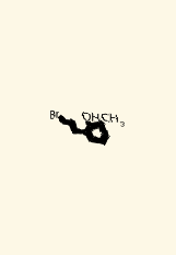 Cc1cccc(C=CCBr)c1O